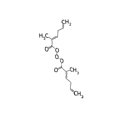 C=CC/C=C(\C)C(=O)OOOC(=O)/C(C)=C/CC=C